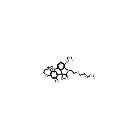 COCCOCCN1C(=O)C(O)(c2cc3c(cc2O)OCCO3)c2c(OC)ccc(OC)c21